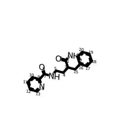 NC(=O)C(CCNC(=O)c1ccccn1)Cc1ccccc1